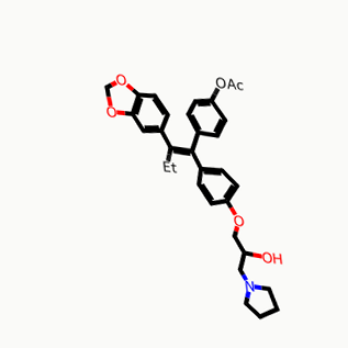 CCC(=C(c1ccc(OCC(O)CN2CCCC2)cc1)c1ccc(OC(C)=O)cc1)c1ccc2c(c1)OCO2